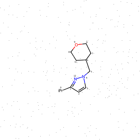 CC(C)c1ccn(CC2CCOCC2)n1